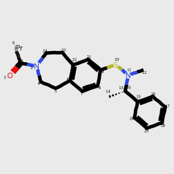 CC(C)C(=O)N1CCc2ccc(SN(C)[C@@H](C)c3ccccc3)cc2CC1